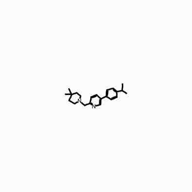 CC(C)c1ccc(-c2ccc(CN3CCC(C)(C)CC3)nc2)cc1